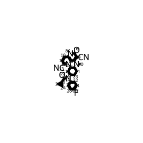 CN(c1c(C#N)c(=O)n(C)c2ccc(C#N)nc12)C1CCC(N(C(=O)C2CC2)c2ccc(F)cc2)CC1